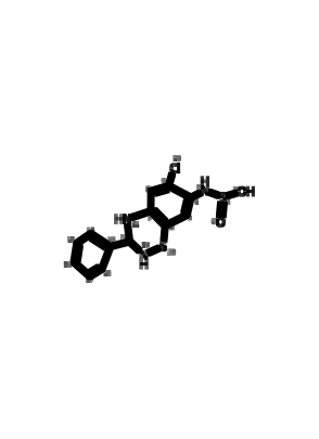 O=S(O)Nc1cc2c(cc1Cl)NC(c1ccccc1)NS2